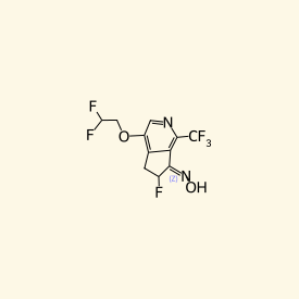 O/N=C1/c2c(C(F)(F)F)ncc(OCC(F)F)c2CC1F